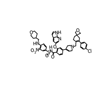 O=C(N[S+]([O-])c1ccc(NCC2CCOCC2)c([N+](=O)[O-])c1)c1ccc(C2=CCN(CC3=C(c4ccc(Cl)cc4)CC4(CC3)COC4)CC2)cc1Oc1cnc2[nH]ccc2c1